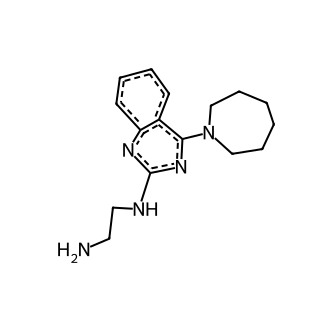 NCCNc1nc(N2CCCCCC2)c2ccccc2n1